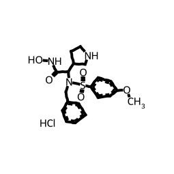 COc1ccc(S(=O)(=O)N(Cc2ccccc2)C(C(=O)NO)C2CCNC2)cc1.Cl